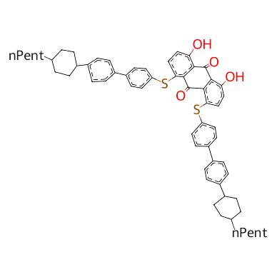 CCCCCC1CCC(c2ccc(-c3ccc(Sc4ccc(O)c5c4C(=O)c4c(Sc6ccc(-c7ccc(C8CCC(CCCCC)CC8)cc7)cc6)ccc(O)c4C5=O)cc3)cc2)CC1